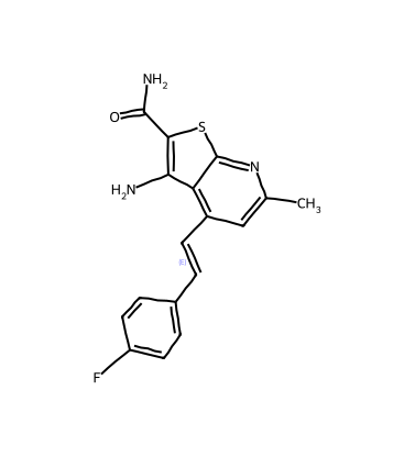 Cc1cc(/C=C/c2ccc(F)cc2)c2c(N)c(C(N)=O)sc2n1